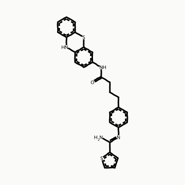 NC(=Nc1ccc(CCCC(=O)Nc2ccc3c(c2)Sc2ccccc2N3)cc1)c1cccs1